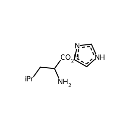 CC(C)CC(N)C(=O)O.c1c[nH]cn1